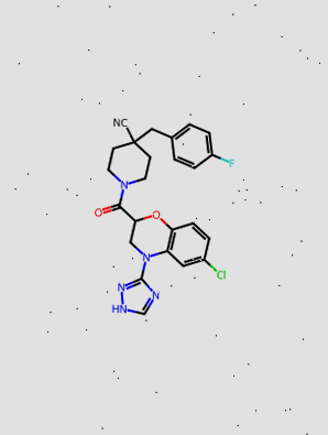 N#CC1(Cc2ccc(F)cc2)CCN(C(=O)C2CN(c3nc[nH]n3)c3cc(Cl)ccc3O2)CC1